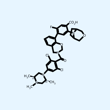 C[C@@H]1CN(C)[C@@H](C)CN1c1cc(Cl)c(C(=O)N2COc3c(cccc3-c3cc(N4C5CCC4COC5)c(C(=O)O)cc3F)C2)c(Cl)c1